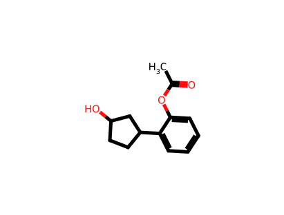 CC(=O)Oc1ccccc1C1CCC(O)C1